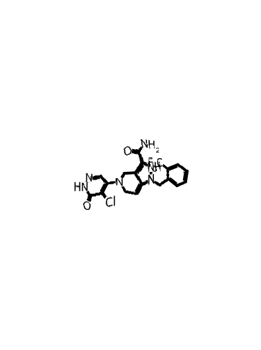 NC(=O)C1=C2CN(c3cn[nH]c(=O)c3Cl)CC=C2N(Cc2ccccc2C(F)(F)F)N1